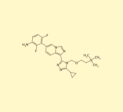 C[Si](C)(C)CCOCn1c(-c2ncn3cc(-c4c(F)ccc(N)c4F)ccc23)nnc1C1CC1